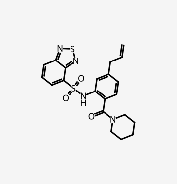 C=CCc1ccc(C(=O)N2CCCCC2)c(NS(=O)(=O)c2cccc3nsnc23)c1